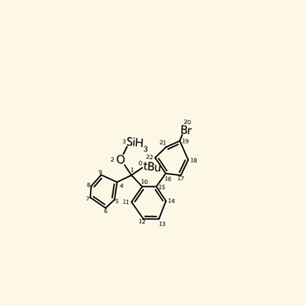 CC(C)(C)C(O[SiH3])(c1ccccc1)c1ccccc1-c1ccc(Br)cc1